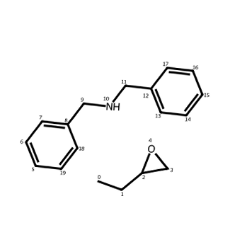 CCC1CO1.c1ccc(CNCc2ccccc2)cc1